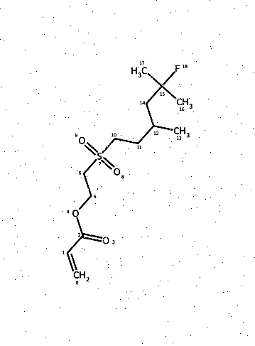 C=CC(=O)OCCS(=O)(=O)CCC(C)CC(C)(C)F